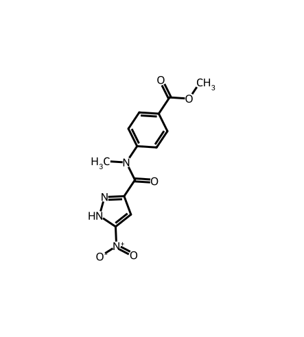 COC(=O)c1ccc(N(C)C(=O)c2cc([N+](=O)[O-])[nH]n2)cc1